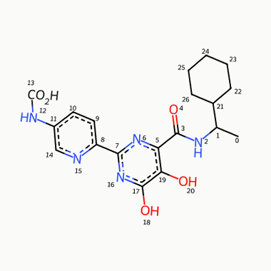 CC(NC(=O)c1nc(-c2ccc(NC(=O)O)cn2)nc(O)c1O)C1CCCCC1